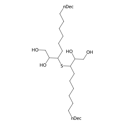 CCCCCCCCCCCCCCCCC(SC(CCCCCCCCCCCCCCCC)C(O)CO)C(O)CO